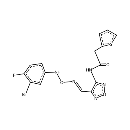 O=C(Cc1cccs1)Nc1nonc1/C=N/ONc1ccc(F)c(Br)c1